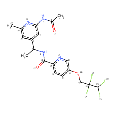 CC(=O)Nc1cc(C(C)NC(=O)c2ccc(OCC(F)(F)C(F)F)cn2)cc(C)n1